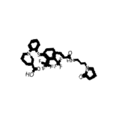 O=C(C=Cc1ccc(Sc2ccccc2N2CCCC(C(=O)O)C2)c(C(F)(F)F)c1C(F)(F)F)NCCCN1CCCC1=O